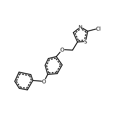 Clc1ncc(COc2ccc(Oc3ccccc3)cc2)s1